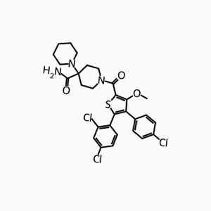 COc1c(C(=O)N2CCC(C(N)=O)(N3CCCCC3)CC2)sc(-c2ccc(Cl)cc2Cl)c1-c1ccc(Cl)cc1